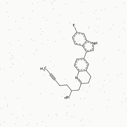 CC#CCCC(CCC)CC1=Nc2ccc(-c3c[nH]c4cc(F)ccc34)cc2CC1